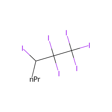 CCCC(I)C(I)(I)C(I)(I)I